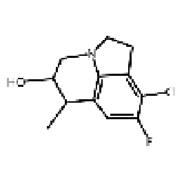 CC1c2cc(F)c(Cl)c3c2N(CC3)CC1O